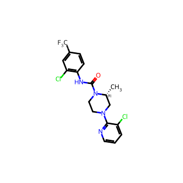 C[C@@H]1CN(c2ncccc2Cl)CCN1C(=O)Nc1ccc(C(F)(F)F)cc1Cl